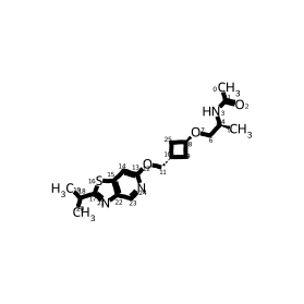 CC(=O)N[C@@H](C)CO[C@H]1C[C@H](COc2cc3sc(C(C)C)nc3cn2)C1